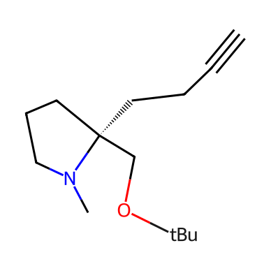 C#CCC[C@@]1(COC(C)(C)C)CCCN1C